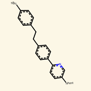 CCCCCc1ccc(-c2ccc(CCc3ccc(CCCC)cc3)cc2)nc1